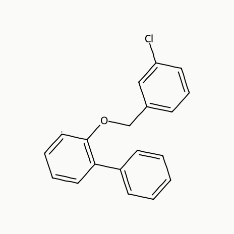 Clc1cccc(COc2[c]cccc2-c2ccccc2)c1